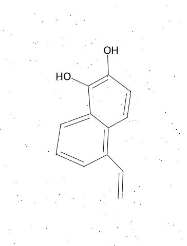 C=Cc1cccc2c(O)c(O)ccc12